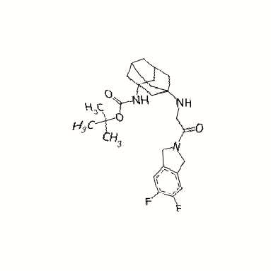 CC(C)(C)OC(=O)NC12CC3CC(CC(NCC(=O)N4Cc5cc(F)c(F)cc5C4)(C3)C1)C2